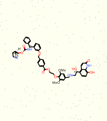 COc1cc(CNC[C@H](O)c2ccc(O)c3[nH]c(=O)ccc23)cc(OC)c1OCCOC(=O)c1ccc(COc2cccc([C@@H](NC(=O)O[C@H]3CN4CCC3CC4)c3ccccc3)c2)cc1